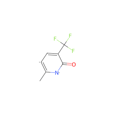 CC1=[C]C=C(C(F)(F)F)C(=O)[N]1